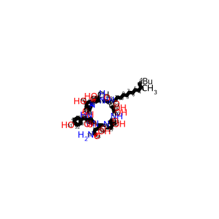 CCC(C)C[C@H](C)CCCCCCCCC(=O)N[C@H]1C[C@@H](O)[C@@H](O)NC(=O)[C@@H]2[C@@H](O)CCN2C(=O)[C@H]([C@H](O)CC(N)=O)NC(=O)[C@H]([C@H](O)[C@@H](O)c2ccc(O)cc2)NC(=O)[C@@H]2C[C@@H](O)CN2C(=O)[C@H]([C@@H](C)O)NC1=O